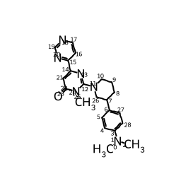 CN(C)c1ccc(C2CCCN(c3nc(-c4ccncn4)cc(=O)n3C)C2)cc1